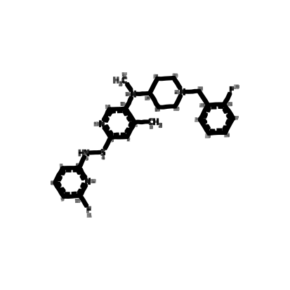 Cc1cc(SNc2cccc(F)n2)ncc1N(C)C1CCN(Cc2ccccc2F)CC1